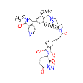 COc1cc(-c2cn(C)c(=O)c3cnccc23)cc(OC)c1CN1CC2(CCN(C(=O)C#Cc3ccc4c(c3)C(=O)N(C3CCC(=O)NC3=O)C4=O)C2)C1